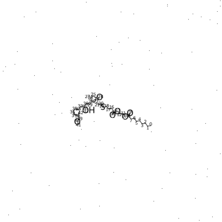 CCCCCCCCC(=O)OCCOC(=O)CCCSCC[C@H]1C(=O)C[C@@H](C)[C@@H]1/C=C/[C@@H](O)Cc1cccc(COC)c1